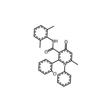 Cc1cccc(C)c1NC(=O)c1c(-c2ccccc2Cl)n(-c2ccccc2)c(C)cc1=O